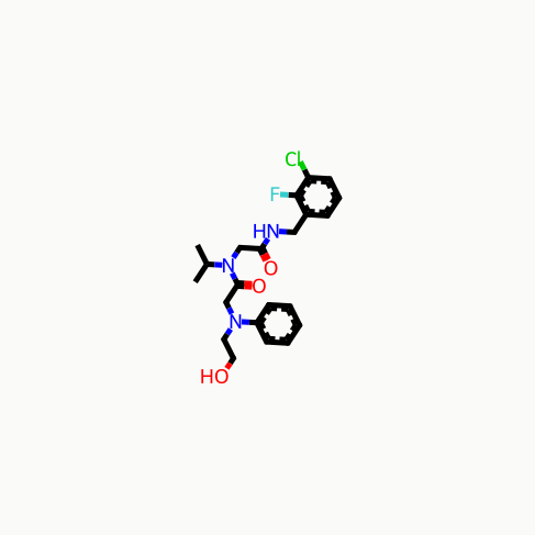 CC(C)N(CC(=O)NCc1cccc(Cl)c1F)C(=O)CN(CCO)c1ccccc1